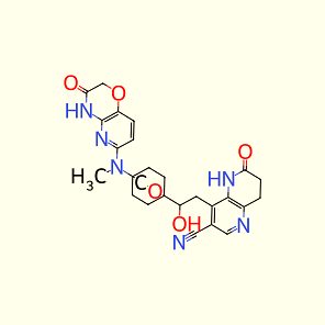 CN(c1ccc2c(n1)NC(=O)CO2)C12CCC(C(O)Cc3c(C#N)cnc4c3NC(=O)CC4)(CC1)OC2